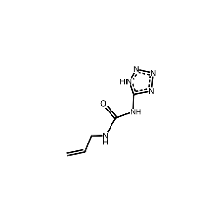 C=CCNC(=O)Nc1nnn[nH]1